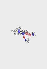 CCN(CC)CCOCCOCCN(CCOCCN(CC)CC)c1cc(OC)c(/N=N/c2sc(C#N)c(C)c2C#N)cc1OC